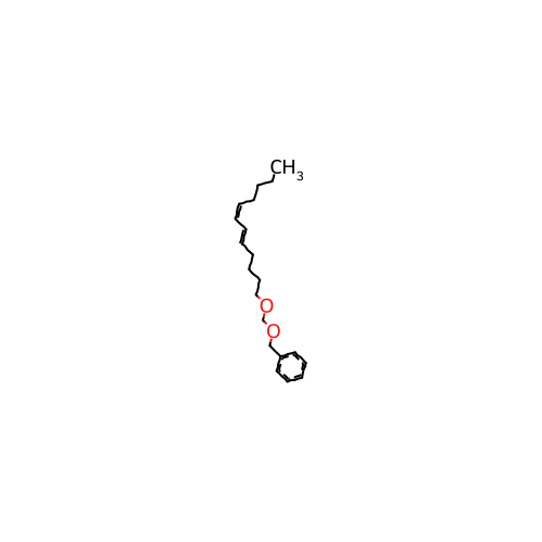 CCCC/C=C\C=C\CCCCOCOCc1ccccc1